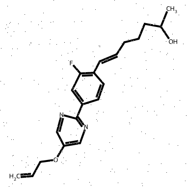 C=CCOc1cnc(-c2ccc(C=CCCCC(C)O)c(F)c2)nc1